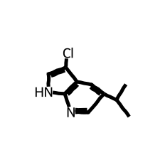 CC(C)c1cnc2[nH]cc(Cl)c2c1